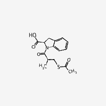 CC(=O)SCC(C)C(=O)N1c2ccccc2CC1C(=O)O